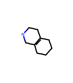 C1CCC2=C(C1)CC[N]C2